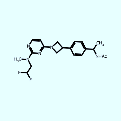 CC(=O)NC(C)c1ccc(C2CN(c3ccnc(N(C)CC(F)F)n3)C2)cc1